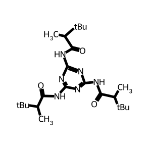 CC(C(=O)Nc1nc(NC(=O)C(C)C(C)(C)C)nc(NC(=O)C(C)C(C)(C)C)n1)C(C)(C)C